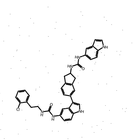 O=C(NCCc1ccccc1Cl)Nc1ccc2[nH]cc(-c3ccc4c(c3)CC(NC(=O)Nc3ccc5[nH]ccc5c3)C4)c2c1